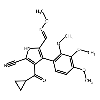 CO/N=C/c1[nH]c(C#N)c(C(=O)C2CC2)c1-c1ccc(OC)c(OC)c1OC